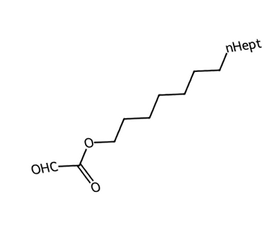 CCCCCCCCCCCCCCOC(=O)C=O